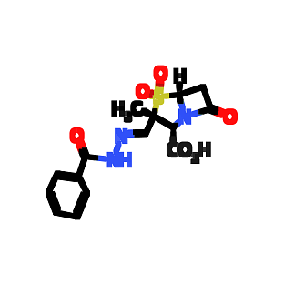 C[C@]1(/C=N/NC(=O)c2ccccc2)[C@H](C(=O)O)N2C(=O)C[C@H]2S1(=O)=O